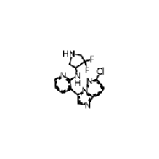 FC1(F)CNCC1Nc1ncccc1-c1cnc2ccc(Cl)nn12